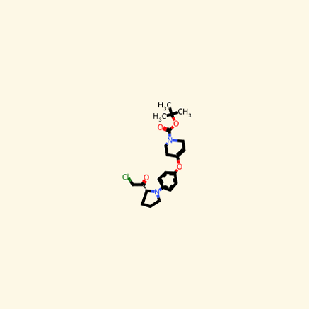 CC(C)(C)OC(=O)N1CC=C(Oc2ccc(N3CCC[C@@H]3C(=O)CCl)cc2)CC1